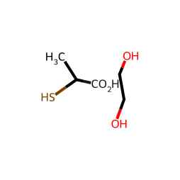 CC(S)C(=O)O.OCCO